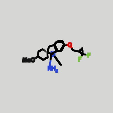 CO[C@H]1CC[C@]2(CC1)Cc1ccc(OCC3CC3(F)F)cc1C21N=C(C)C(N)=N1